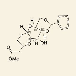 COC(=O)CC1CC[C@@H]2O[C@H]3COC(c4ccccc4)O[C@H]3[C@H](O)[C@H]2O1